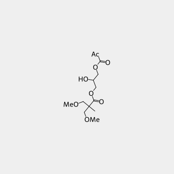 COCC(C)(COC)C(=O)OCC(O)COC(=O)C(C)=O